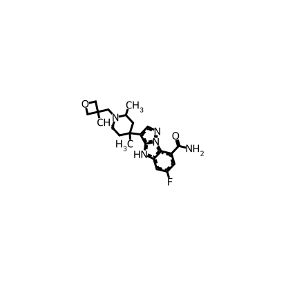 CC1CC(C)(c2cnn3c2[nH]c2cc(F)cc(C(N)=O)c23)CCN1CC1(C)COC1